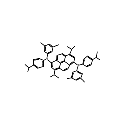 Cc1cc(C)cc(N(c2ccc(C(C)C)cc2)c2cc(C(C)C)c3ccc4c(N(c5ccc(C(C)C)cc5)c5cc(C)cc(C)c5)cc(C(C)C)c5ccc2c3c54)c1